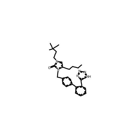 CCCCc1cn(CCC(C)(C)C)c(=O)n1Cc1ccc(-c2ccccc2-c2nnn[nH]2)cc1